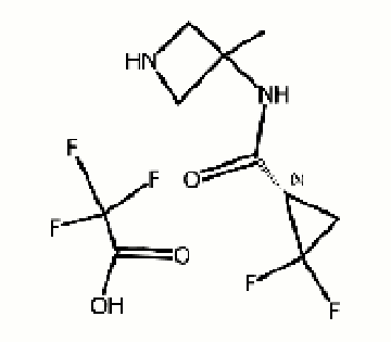 CC1(NC(=O)[C@@H]2CC2(F)F)CNC1.O=C(O)C(F)(F)F